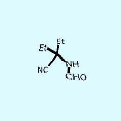 CCC(C#N)(CC)NC=O